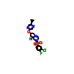 O=S(=O)(c1ccc(F)c(Cl)c1)N1CCN2C[C@H](Oc3cnc(C4CC4)cn3)C[C@H]2C1